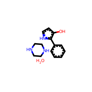 C1CNCCN1.O.Oc1cc[nH]c1-c1ccccc1